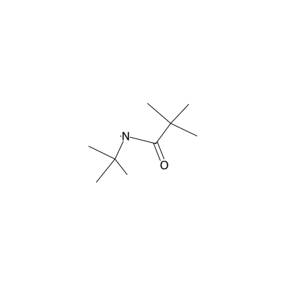 CC(C)(C)[N]C(=O)C(C)(C)C